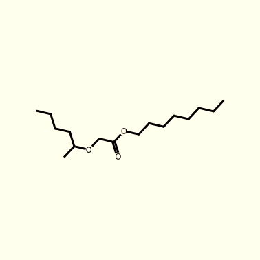 CCCCCCCCOC(=O)COC(C)CCCC